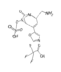 NCC1C=C(c2cnco2)C2CN1C(=O)N2OS(=O)(=O)O.O=C(O)C(F)(F)F